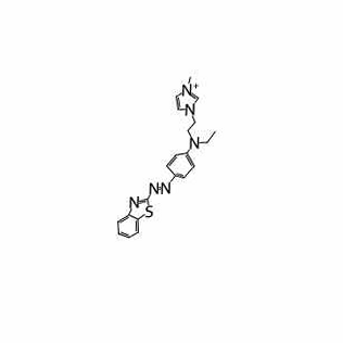 CCN(CCn1cc[n+](C)c1)c1ccc(N=Nc2nc3ccccc3s2)cc1